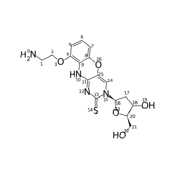 NCCOc1cccc2c1Nc1nc(=S)n([C@H]3CC(O)[C@@H](CO)O3)cc1O2